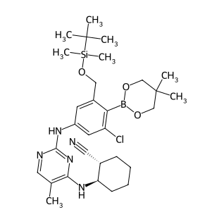 Cc1cnc(Nc2cc(Cl)c(B3OCC(C)(C)CO3)c(CO[Si](C)(C)C(C)(C)C)c2)nc1N[C@@H]1CCCC[C@H]1C#N